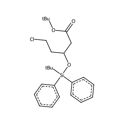 CC(C)(C)OC(=O)CC(CCCl)O[Si](c1ccccc1)(c1ccccc1)C(C)(C)C